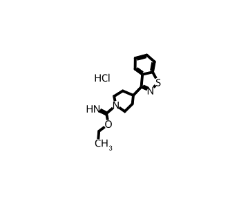 CCOC(=N)N1CCC(c2nsc3ccccc23)CC1.Cl